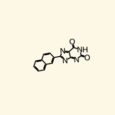 O=C1N=C2N=C(c3ccc4ccccc4c3)N=C2C(=O)N1